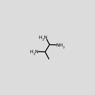 CC(N)[C](N)N